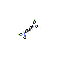 CCC(C)(c1ccc2c(c1)C(C)(C)c1cc([C@@](C)(CC)N(c3ccc(C)cc3)c3ccc(C(F)(F)F)cc3)ccc1-2)N(c1ccc(C)cc1)c1ccc(C(F)(F)F)cc1